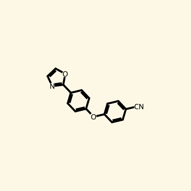 N#Cc1ccc(Oc2ccc(-c3ncco3)cc2)cc1